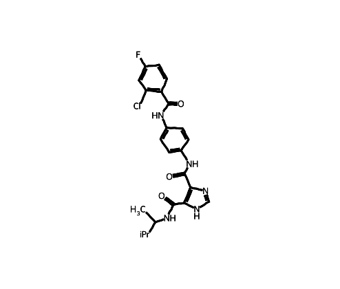 CC(C)C(C)NC(=O)c1[nH]cnc1C(=O)Nc1ccc(NC(=O)c2ccc(F)cc2Cl)cc1